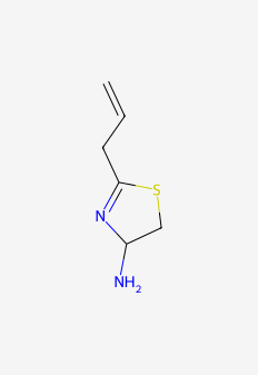 C=CCC1=NC(N)CS1